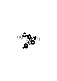 CC[C@H](CC(=O)O)c1ccc(N(CC(C)(C)O)C2CCCCC2)c(NC(=O)Nc2ccc(C)cc2)c1